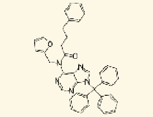 O=C(CCCc1ccccc1)N(Cc1ccco1)c1ncnc2c1ncn2C(c1ccccc1)(c1ccccc1)c1ccccc1